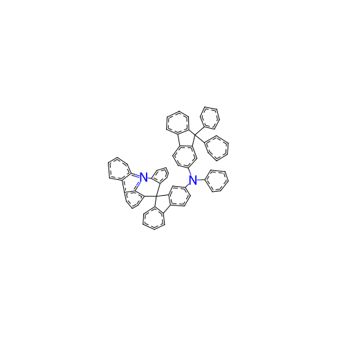 c1ccc(N(c2ccc3c(c2)C(c2ccccc2)(c2ccccc2)c2ccccc2-3)c2ccc3c(c2)C2(c4ccccc4-3)c3ccccc3-n3c4ccccc4c4cccc2c43)cc1